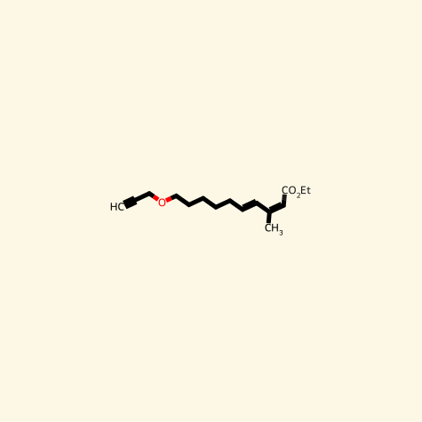 C#CCOCCCCCC=CC(C)=CC(=O)OCC